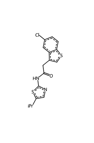 CC(C)c1cnc(NC(=O)Cc2csc3ccc(Cl)cc23)s1